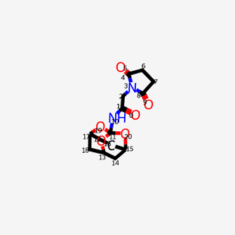 O=C(CN1C(=O)CCC1=O)NC12OC3CC(CC(C3)O1)O2